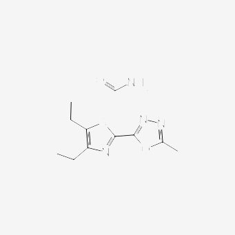 CCc1nc(-c2nnc(C)o2)sc1CC.NC=O